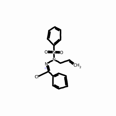 C=CCN(/N=C(/Cl)c1ccccc1)S(=O)(=O)c1ccccc1